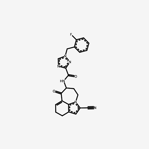 N#Cc1cc2c3n1CCC(NC(=O)c1ncn(Cc4ccccc4F)n1)C(=O)C3=CCC2